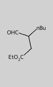 CCCCC(C=O)CC(=O)OCC